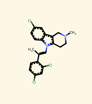 C/C(=C\n1c2c(c3cc(Cl)ccc31)CN(C)CC2)c1ccc(Cl)cc1Cl